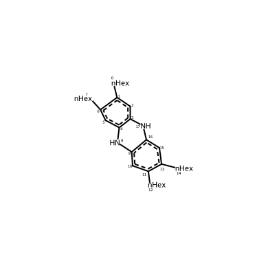 CCCCCCc1cc2c(cc1CCCCCC)Nc1cc(CCCCCC)c(CCCCCC)cc1N2